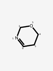 [C]1=NCOCC1